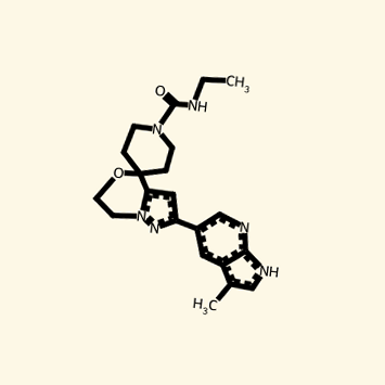 CCNC(=O)N1CCC2(CC1)OCCn1nc(-c3cnc4[nH]cc(C)c4c3)cc12